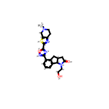 CN1CCc2nc(-c3nc(-c4cccc5c4CC4CC(=O)N(CCO)C54)no3)sc2C1